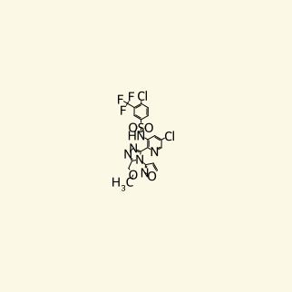 COCc1nnc(-c2ncc(Cl)cc2NS(=O)(=O)c2ccc(Cl)c(C(F)(F)F)c2)n1-c1ccon1